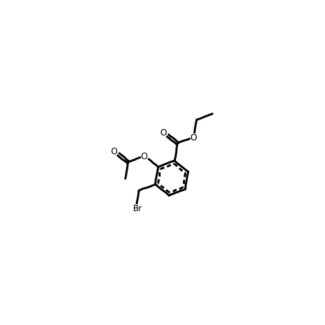 CCOC(=O)c1cccc(CBr)c1OC(C)=O